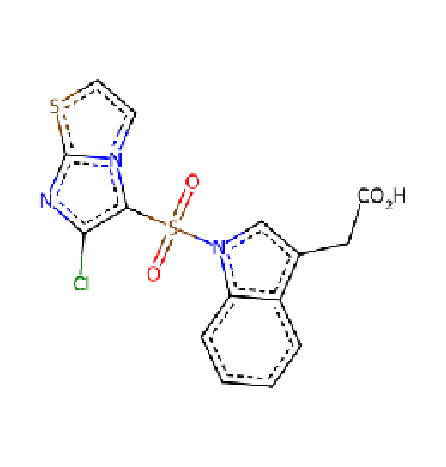 O=C(O)Cc1cn(S(=O)(=O)c2c(Cl)nc3sccn23)c2ccccc12